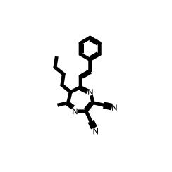 CCCCC1C(C)=NC(C#N)=C(C#N)N=C1/C=C/c1ccccc1